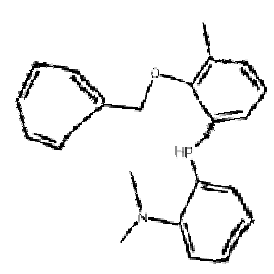 Cc1cccc(Pc2ccccc2N(C)C)c1OCc1ccccc1